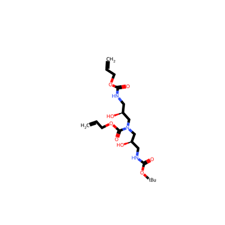 C=CCOC(=O)NC[C@H](O)CN(C[C@H](O)CNC(=O)OC(C)(C)C)C(=O)OCC=C